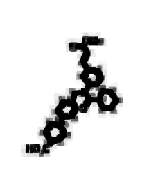 COC(=O)C=Cc1cccc(N(Cc2ccc(-c3ccc(C(=O)O)cc3)cc2)C(=O)C2CCCCC2)c1